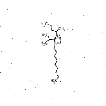 CCCCCCCCCn1cc[n+](C(C)CCC)c1C(C)C